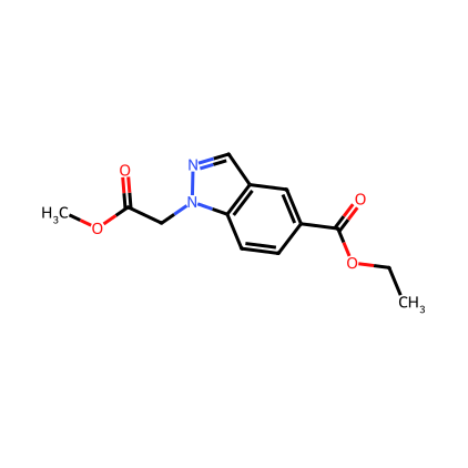 CCOC(=O)c1ccc2c(cnn2CC(=O)OC)c1